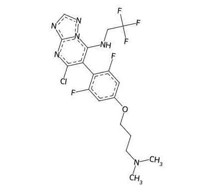 CN(C)CCCOc1cc(F)c(-c2c(Cl)nc3ncnn3c2NCC(F)(F)F)c(F)c1